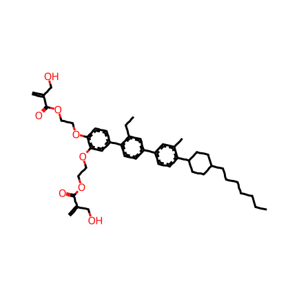 C=C(CO)C(=O)OCCOc1ccc(-c2ccc(-c3ccc(C4CCC(CCCCCCC)CC4)c(C)c3)cc2CC)cc1OCCOC(=O)C(=C)CO